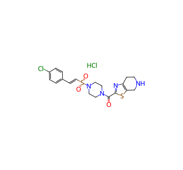 Cl.O=C(c1nc2c(s1)CNCC2)N1CCN(S(=O)(=O)/C=C/c2ccc(Cl)cc2)CC1